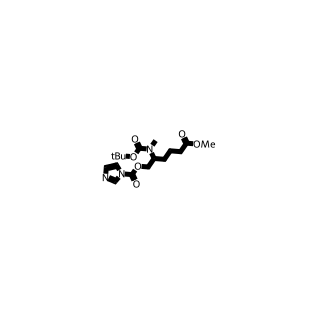 COC(=O)CCCC(COC(=O)n1ccnc1)N(C)C(=O)OC(C)(C)C